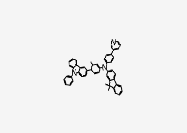 CC1C=C(N(c2ccc(-c3cccnc3)cc2)c2ccc3c(c2)C(C)(C)c2ccccc2-3)C=CC1c1ccc2c(c1)c1ccccc1n2-c1ccccc1